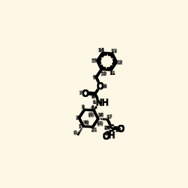 C[C@@H]1CC[C@H](NC(=O)OCc2ccccc2)[C@H](C[SH](=O)=O)C1